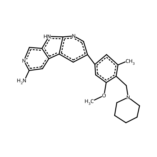 COc1cc(-c2cnc3[nH]c4cnc(N)cc4c3c2)cc(C)c1CN1CCCCC1